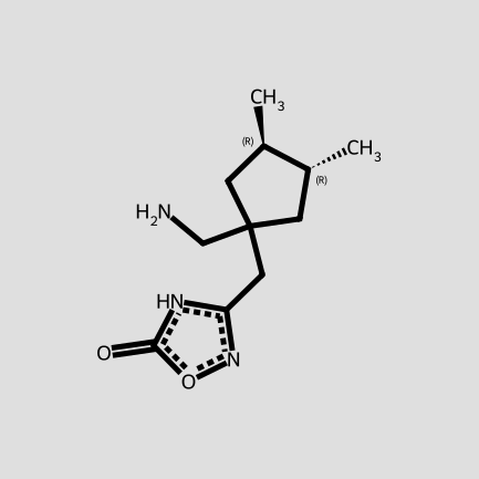 C[C@@H]1CC(CN)(Cc2noc(=O)[nH]2)C[C@H]1C